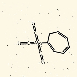 O=[C]=[Mo](=[C]=O)(=[C]=O)[C]1=CC=CC=CC1